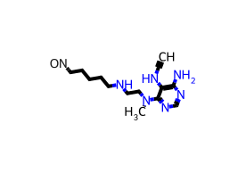 C#CNc1c(N)ncnc1N(C)CCNCCCCCN=O